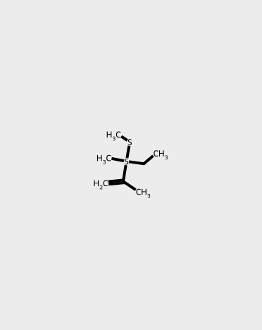 C=C(C)S(C)(CC)SC